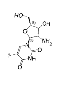 NC1C(O)[C@H](CO)O[C@@H]1n1cc(I)c(=O)[nH]c1=O